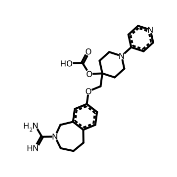 N=C(N)N1CCCc2ccc(OCC3(OC(=O)O)CCN(c4ccncc4)CC3)cc2C1